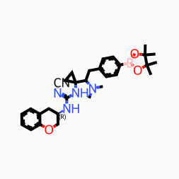 CN(C)C(Cc1ccc(B2OC(C)(C)C(C)(C)O2)cc1)C1(NC(=NC#N)N[C@H]2COc3ccccc3C2)CC1